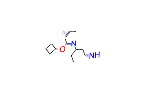 C/C=C\C(=NC(CC)CC=N)OC1CCC1